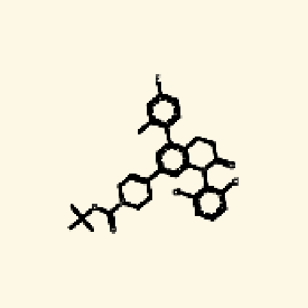 Cc1cc(F)ccc1-c1cc(C2=CCN(C(=O)OC(C)(C)C)CC2)cc2c1CCC(=O)N2c1c(Cl)cccc1Cl